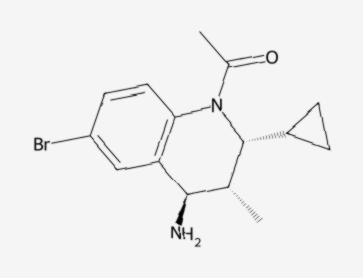 CC(=O)N1c2ccc(Br)cc2[C@H](N)[C@@H](C)[C@H]1C1CC1